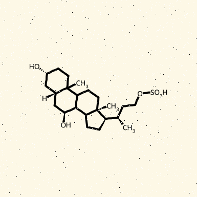 C[C@H](CCOS(=O)(=O)O)[C@H]1CCC2C3C(CC[C@@]21C)C1(C)CC[C@@H](O)C[C@H]1C[C@@H]3O